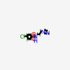 O=S(=O)(NCCCn1ccnc1)c1ccc(Cl)cc1